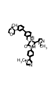 CN1CCOC[C@@H]1c1cccc(-c2ccc(Cl)c(C[C@H](NC(=O)c3ccnn3C)C(=O)Nc3ccc(-c4cncn4C)cc3)c2)c1